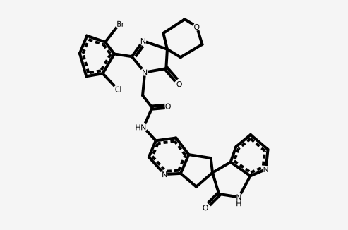 O=C(CN1C(=O)C2(CCOCC2)N=C1c1c(Cl)cccc1Br)Nc1cnc2c(c1)CC1(C2)C(=O)Nc2ncccc21